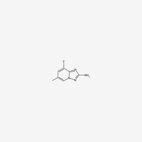 Cc1cc(F)c2nc(N)nn2c1